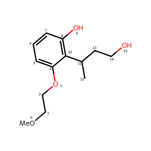 COCCOc1cccc(O)c1C(C)CCO